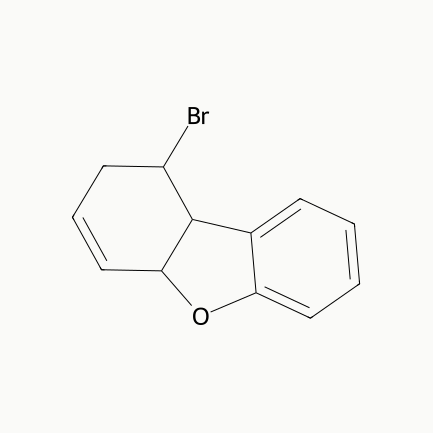 BrC1CC=CC2Oc3ccccc3C12